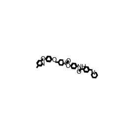 Cc1ccc(Oc2ccc(OCC3CCN(C(=O)Oc4ccc(NC(=O)c5ccc(CN6CCCCC6)cc5)cc4)CC3)cc2)nc1